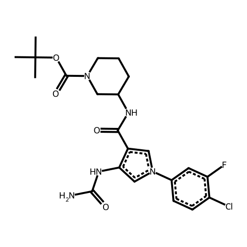 CC(C)(C)OC(=O)N1CCCC(NC(=O)c2cn(-c3ccc(Cl)c(F)c3)cc2NC(N)=O)C1